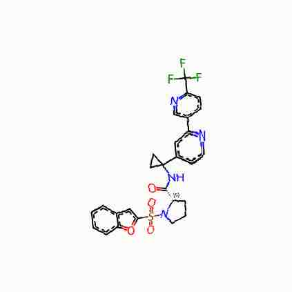 O=C(NC1(c2ccnc(-c3ccc(C(F)(F)F)nc3)c2)CC1)[C@@H]1CCCN1S(=O)(=O)c1cc2ccccc2o1